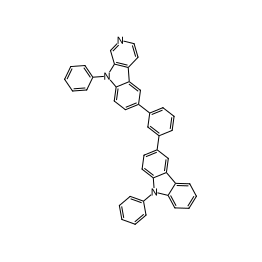 c1ccc(-n2c3ccccc3c3cc(-c4cccc(-c5ccc6c(c5)c5ccncc5n6-c5ccccc5)c4)ccc32)cc1